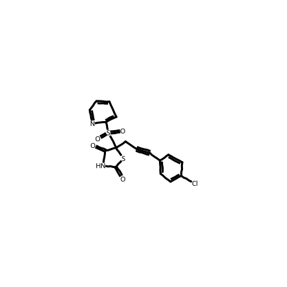 O=C1NC(=O)C(CC#Cc2ccc(Cl)cc2)(S(=O)(=O)c2ccccn2)S1